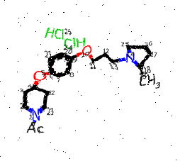 CC(=O)N1CCC(Oc2ccc(OCCCN3CCC[C@H]3C)cc2)CC1.Cl.Cl